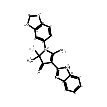 CC1(C)C(=O)C(c2nc3ccccc3[nH]2)=C(N)N1c1ccc2c(c1)OCO2